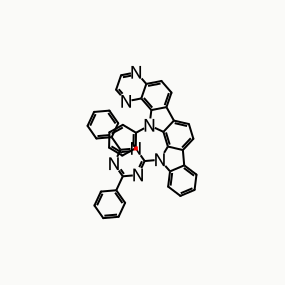 c1ccc(-c2nc(-c3ccccc3)nc(-n3c4ccccc4c4ccc5c6ccc7nccnc7c6n(-c6ccccc6)c5c43)n2)cc1